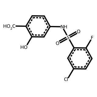 O=C(O)c1ccc(NS(=O)(=O)c2cc(Cl)ccc2F)cc1O